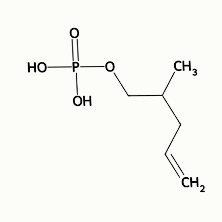 C=CCC(C)COP(=O)(O)O